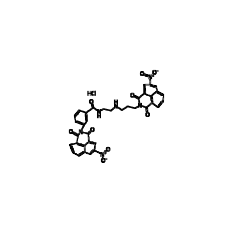 Cl.O=C(NCCNCCCN1C(=O)c2cccc3cc([N+](=O)[O-])cc(c23)C1=O)c1cccc(N2C(=O)c3cccc4cc([N+](=O)[O-])cc(c34)C2=O)c1